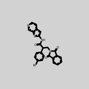 O=C(Nc1cc2ccncc2s1)C(CN1C(=O)c2ccccc2C1=O)c1ccc(Br)cc1